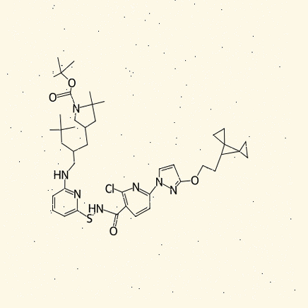 CC(C)(C)CC(CNc1cccc(SNC(=O)c2ccc(-n3ccc(OCCC4C5(CC5)C45CC5)n3)nc2Cl)n1)CC1CN(C(=O)OC(C)(C)C)C(C)(C)C1